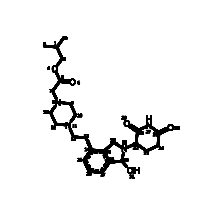 CC(C)COC(=O)CN1CCN(CCc2cccc3c2CN(C2CCC(=O)NC2=O)C3O)CC1